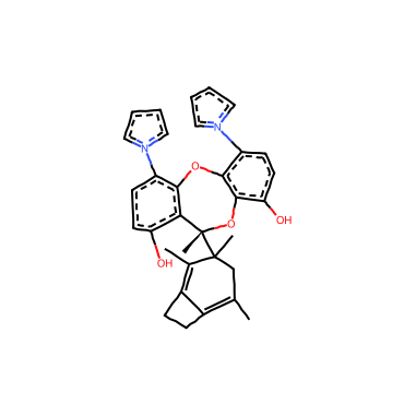 CC1=C2CCC2=C(C)C(C)([C@@]2(C)Oc3c(O)ccc(-n4cccc4)c3Oc3c(-n4cccc4)ccc(O)c32)C1